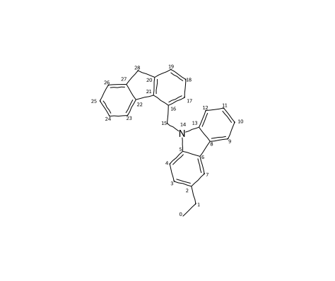 CCc1ccc2c(c1)c1ccccc1n2Cc1cccc2c1-c1ccccc1C2